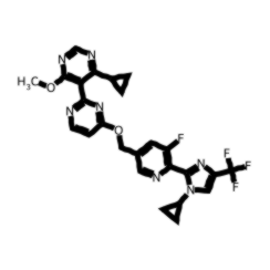 COc1ncnc(C2CC2)c1-c1nccc(OCc2cnc(-c3nc(C(F)(F)F)cn3C3CC3)c(F)c2)n1